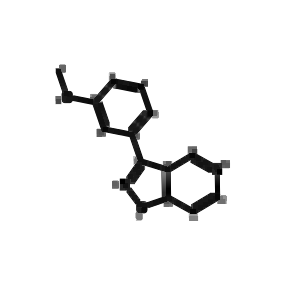 COc1cccc(-c2noc3ccncc23)c1